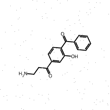 NCCC(=O)c1ccc(C(=O)c2ccccc2)c(O)c1